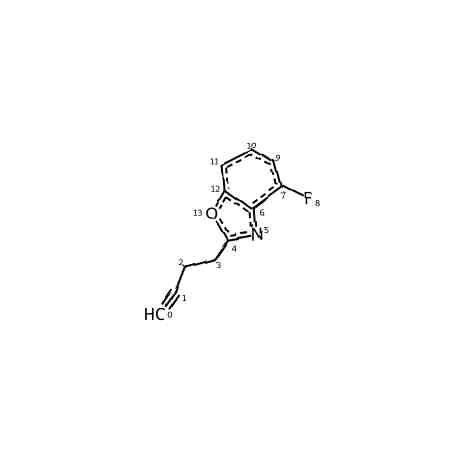 C#CCCc1nc2c(F)cccc2o1